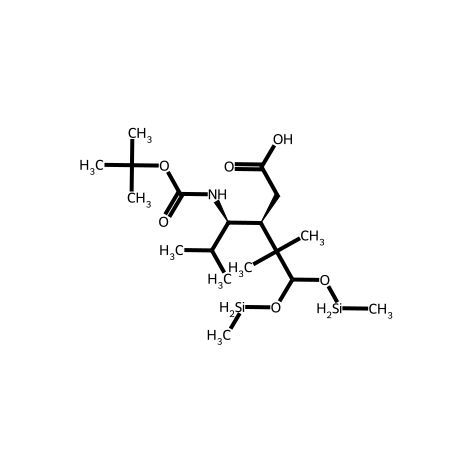 C[SiH2]OC(O[SiH2]C)C(C)(C)[C@H](CC(=O)O)[C@H](NC(=O)OC(C)(C)C)C(C)C